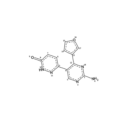 Nc1ncc(-c2ccc(=O)[nH]n2)c(-c2ccoc2)n1